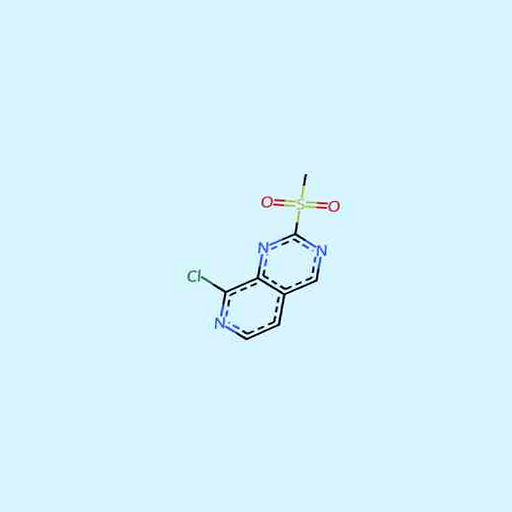 CS(=O)(=O)c1ncc2ccnc(Cl)c2n1